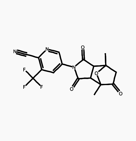 CC12CC(=O)C(C)(O1)C1C(=O)N(c3cnc(C#N)c(C(F)(F)F)c3)C(=O)C12